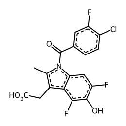 Cc1c(CC(=O)O)c2c(F)c(O)c(F)cc2n1C(=O)c1ccc(Cl)c(F)c1